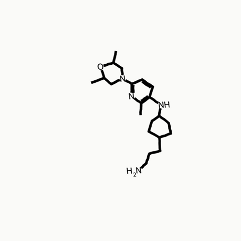 Cc1nc(N2CC(C)OC(C)C2)ccc1NC1CCC(CCCN)CC1